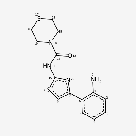 Nc1ccccc1-c1csc(NC(=O)N2CCSCC2)n1